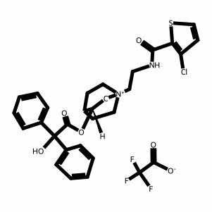 O=C(NCC[N+]12CCC(CC1)[C@@H](OC(=O)C(O)(c1ccccc1)c1ccccc1)C2)c1sccc1Cl.O=C([O-])C(F)(F)F